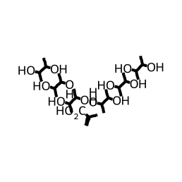 C=C(C)C(=O)O.CC(O)C(C)O.CC(O)C(C)O.CC(O)C(C)O.CC(O)C(C)O.CC(O)C(C)O.CC(O)C(C)O